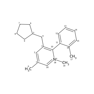 Cc1cc(CC2CCCC2)c(-c2ccccc2C)[n+](C)c1